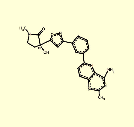 Cc1nc(N)c2nc(-c3cccc(-c4cc([C@]5(O)CCN(C)C5=O)on4)c3)ccc2n1